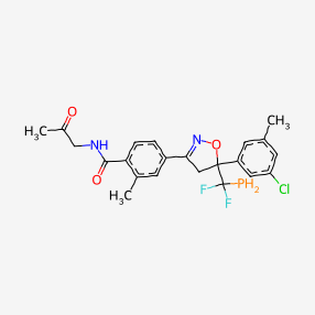 CC(=O)CNC(=O)c1ccc(C2=NOC(c3cc(C)cc(Cl)c3)(C(F)(F)P)C2)cc1C